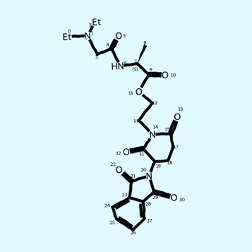 CCN(CC)CC(=O)N[C@@H](C)C(=O)OCCN1C(=O)CCC(N2C(=O)c3ccccc3C2=O)C1=O